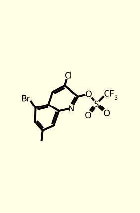 Cc1cc(Br)c2cc(Cl)c(OS(=O)(=O)C(F)(F)F)nc2c1